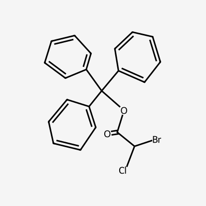 O=C(OC(c1ccccc1)(c1ccccc1)c1ccccc1)C(Cl)Br